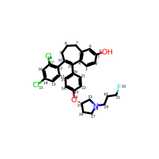 Oc1ccc2c(c1)CCCC(c1ccc(Cl)cc1Cl)=C2c1ccc(O[C@H]2CCN(CCCF)C2)cc1